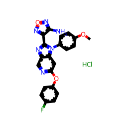 COc1ccc(-n2c(-c3nonc3N)nc3cnc(Oc4ccc(F)cc4)cc32)cc1.Cl